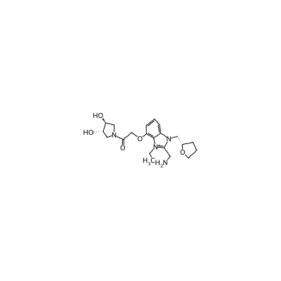 CC[n+]1c(CN)n(C[C@@H]2CCCO2)c2cccc(OCC(=O)N3C[C@H](O)[C@@H](O)C3)c21